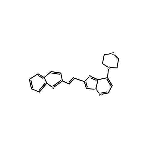 C(=C\c1cn2nccc(N3CCOCC3)c2n1)/c1ccc2ccccc2n1